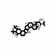 C=C(C)[C@H]1O[C@H]2CC[C@@]3(C)[C@@](O)(CC[C@H]4Cc5c([nH]c6ccc7c(c56)C[C@@H]5[C@@H](C7=O)C(C)(C)OC5(C)C)[C@@]43C)[C@]23O[C@@H]3[C@@H]1O